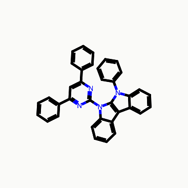 c1ccc(-c2cc(-c3ccccc3)nc(-n3c4ccccc4c4c5ccccc5n(-c5ccccc5)c43)n2)cc1